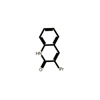 CC(C)c1cc2ccccc2[nH]c1=O